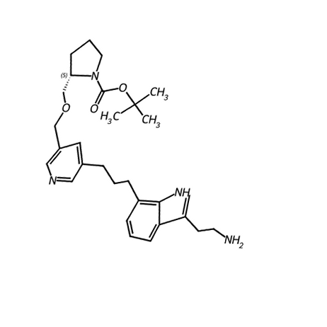 CC(C)(C)OC(=O)N1CCC[C@H]1COCc1cncc(CCCc2cccc3c(CCN)c[nH]c23)c1